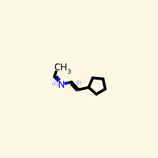 C/C=N\C=C\C1CCCC1